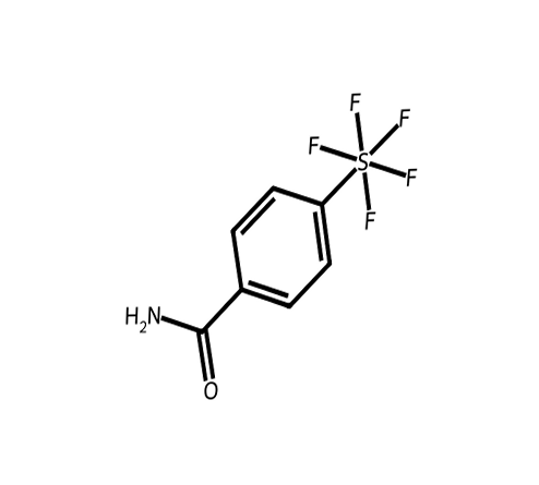 NC(=O)c1ccc(S(F)(F)(F)(F)F)cc1